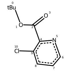 CC(C)(C)OC(=O)c1ncccc1Cl